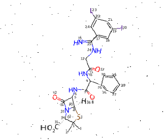 CC1(C)S[C@@H]2C(NC(=O)C(NC(=O)CNC(=N)c3cc(I)cc(I)c3)c3ccccc3)C(=O)N2[C@H]1C(=O)O